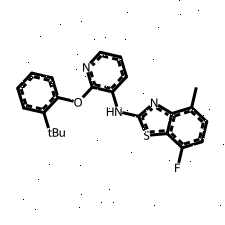 Cc1ccc(F)c2sc(Nc3cccnc3Oc3ccccc3C(C)(C)C)nc12